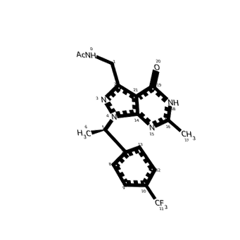 CC(=O)NCc1nn([C@H](C)c2ccc(C(F)(F)F)cc2)c2nc(C)[nH]c(=O)c12